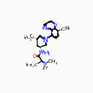 CCN(C)C(C)C(=O)N[C@@H]1C[C@H](C)CN(c2ccc(C#N)c3nccnc23)C1